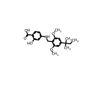 CCC(C)(C)c1cc(OC)c(CNc2ccc(C(=O)O)c(O)c2)c(OC)c1